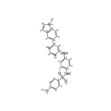 COc1ccc(S(=O)(=O)Nc2ccc(Nc3cc(-c4ccc5c(ccn5C)c4)ncn3)cc2)cc1